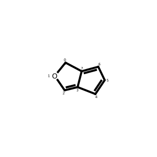 [CH]1OC=C2C=CC=C12